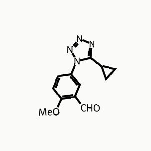 COc1ccc(-n2nnnc2C2CC2)cc1C=O